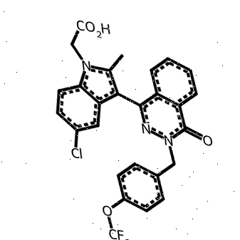 Cc1c(-c2nn(Cc3ccc(OC(F)(F)F)cc3)c(=O)c3ccccc23)c2cc(Cl)ccc2n1CC(=O)O